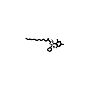 CCCCCCCCCCC(C)C(=O)OP(=O)(C(=O)c1c(C)cc(C)cc1C)C1CCCC1